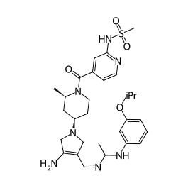 CC(/N=C\C1=C(N)CN([C@@H]2CCN(C(=O)c3ccnc(NS(C)(=O)=O)c3)[C@H](C)C2)C1)Nc1cccc(OC(C)C)c1